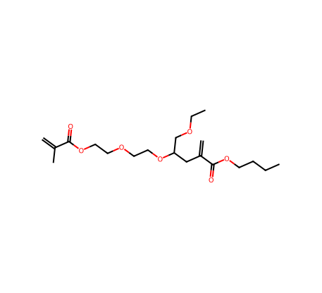 C=C(C)C(=O)OCCOCCOC(COCC)CC(=C)C(=O)OCCCC